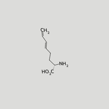 C=C/C=C/CC[C@H](N)C(=O)O